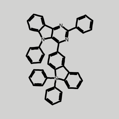 c1ccc(-c2nc(-c3ccc4c(c3)-c3ccccc3[Si]4(c3ccccc3)c3ccccc3)c3c(n2)c2ccccc2n3-c2ccccc2)cc1